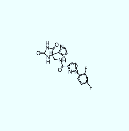 O=C1NC(=O)[C@](CNC(=O)c2cnn(-c3ccc(F)cc3F)n2)(c2nccs2)N1